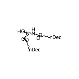 CCCCCCCCCCCCCCCOC(=O)CCNCCN(CCO)CCC(=O)OCCCCCCCCCCCCCCC